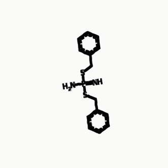 N=P(N)(SCc1ccccc1)SCc1ccccc1